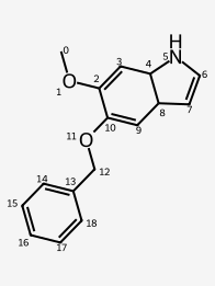 COC1=CC2NC=CC2C=C1OCc1ccccc1